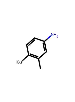 CCC(C)c1ccc(N)cc1C